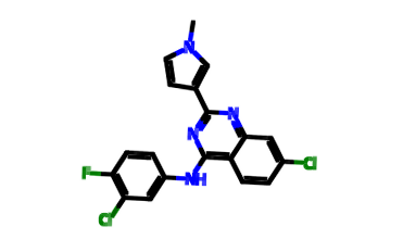 Cn1ccc(-c2nc(Nc3ccc(F)c(Cl)c3)c3ccc(Cl)cc3n2)c1